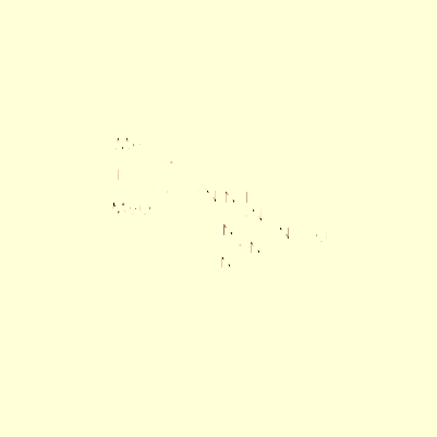 COc1cc(/C=N/Nc2nc(N3CCOCC3)nc(N3CCOCC3)n2)cc(OC)c1O